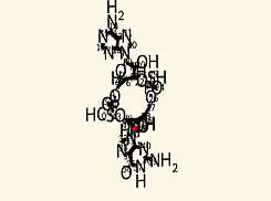 C#S[P@]1(=O)OC[C@H]2O[C@@H](n3cnc4c(N)ncnc43)[C@H](O)[C@@H]2O[P@@](=O)(S)OC[C@H]2O[C@@H](n3cnc4c(=O)[nH]c(N)nc43)[C@H](O1)[C@@H]2O